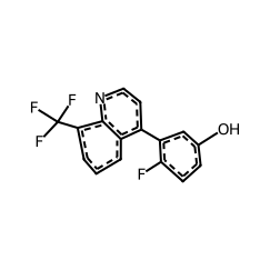 Oc1ccc(F)c(-c2ccnc3c(C(F)(F)F)cccc23)c1